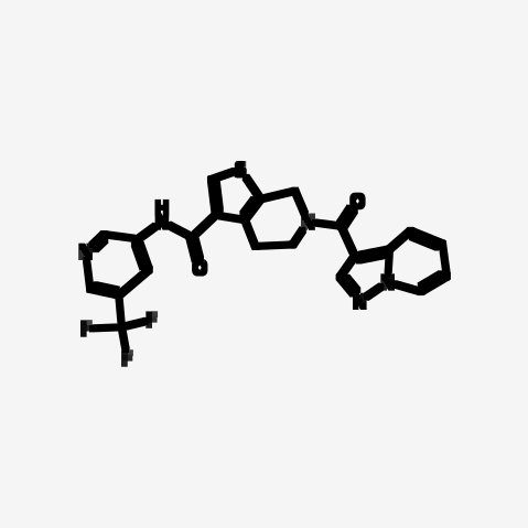 O=C(Nc1cncc(C(F)(F)F)c1)c1csc2c1CCN(C(=O)c1cnn3ccccc13)C2